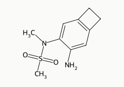 CN(c1cc2c(cc1N)CC2)S(C)(=O)=O